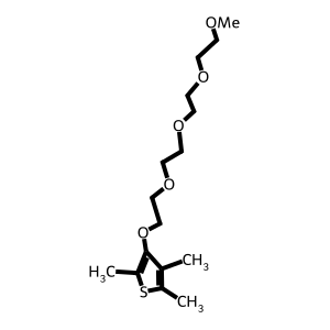 COCCOCCOCCOCCOc1c(C)sc(C)c1C